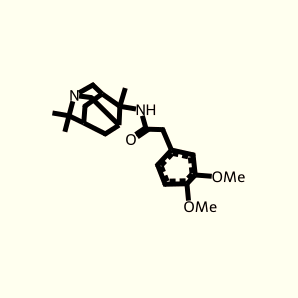 COc1ccc(CC(=O)NC2(C)C3CC4CC2CN(C3)C4(C)C)cc1OC